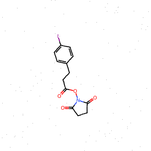 O=C(CCc1ccc(I)cc1)ON1C(=O)CCC1=O